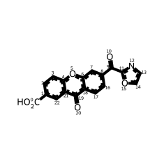 O=C(O)c1ccc2oc3cc(C(=O)c4ncco4)ccc3c(=O)c2c1